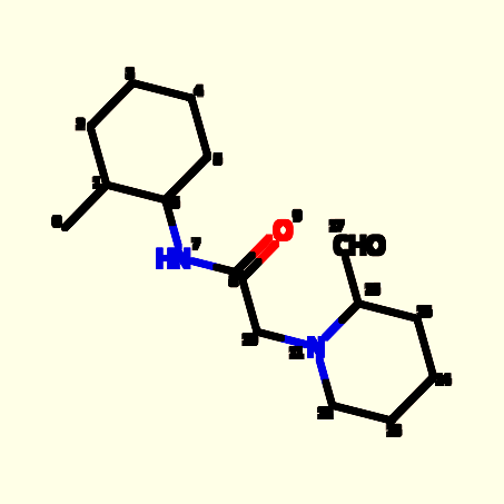 CC1CCCCC1NC(=O)CN1CCCCC1C=O